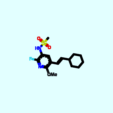 COc1nc(F)c(NS(C)(=O)=O)cc1C=CC1CCCCC1